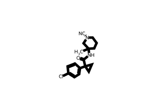 CC1(NC(=O)C2(c3ccc(Cl)cc3)CC2)CCCN(C#N)C1